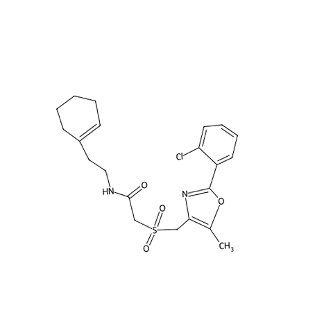 Cc1oc(-c2ccccc2Cl)nc1CS(=O)(=O)CC(=O)NCCC1=CCCCC1